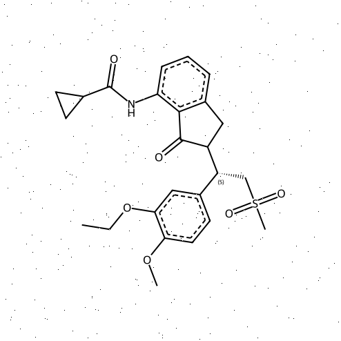 CCOc1cc([C@@H](CS(C)(=O)=O)C2Cc3cccc(NC(=O)C4CC4)c3C2=O)ccc1OC